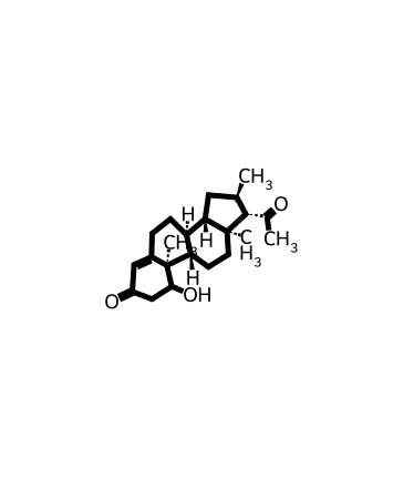 CC(=O)[C@H]1[C@H](C)C[C@H]2[C@@H]3CCC4=CC(=O)CC(O)[C@]4(C)[C@H]3CC[C@@]21C